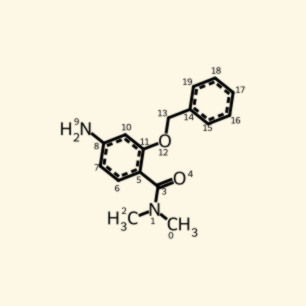 CN(C)C(=O)c1ccc(N)cc1OCc1ccccc1